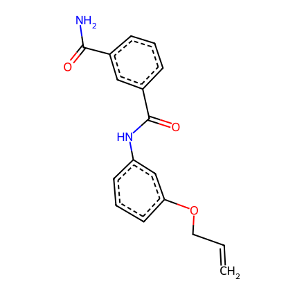 C=CCOc1cccc(NC(=O)c2cccc(C(N)=O)c2)c1